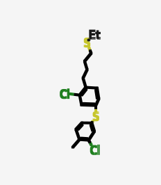 CCSCCCCc1ccc(Sc2ccc(C)c(Cl)c2)cc1Cl